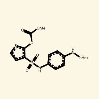 CCCCCCNc1ccc(NS(=O)(=O)c2ccsc2OC(=O)OC)cc1